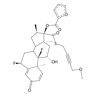 COCC#CCSC(=O)[C@@]1(OC(=O)c2ccco2)[C@H](C)CC2C3C[C@H](F)C4=CC(=O)C=C[C@]4(C)[C@@]3(F)[C@@H](O)C[C@@]21C